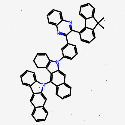 CC1(C)c2ccccc2-c2c(-c3nc4ccccc4nc3-c3cccc(-n4c5c(c6c(-n7c8ccccc8c8cc9ccccc9cc87)c7ccccc7cc64)CCC=C5)c3)cccc21